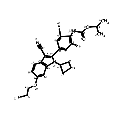 CC(C)OC(=O)Nc1c(F)cc(-c2c(C#N)c3ccc(OCCF)cc3n2C2CCC2)cc1F